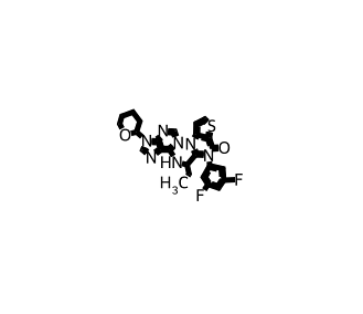 CCC(Nc1ncnc2c1ncn2C1CCCCO1)c1nc2ccsc2c(=O)n1-c1cc(F)cc(F)c1